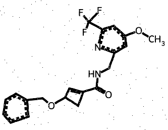 COc1cc(CNC(=O)C2=CC(OCc3ccccc3)C2)nc(C(F)(F)F)c1